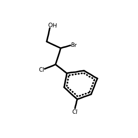 OCC(Br)C(Cl)c1cccc(Cl)c1